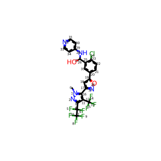 Cn1nc(C(F)(F)C(F)(F)F)c(C(F)(F)F)c1-c1cc(-c2ccc(Cl)c(C(O)Nc3ccncc3)c2)on1